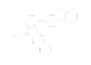 Cn1c2cc3ccccc3cc2c2c(-c3ccc4c(c3)sc3ccccc34)cccc21